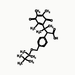 CC1=C(C)C(=O)C(C(C)(C)C(C(=O)O)c2ccc(CO[Si](C)(C)C(C)(C)C)cc2)=C(C)C1=O